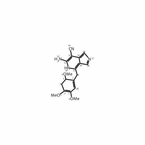 COC1=C(OC)CC(OC)C(Cc2[nH]c(N)c(C#N)c3cncc2-3)=C1